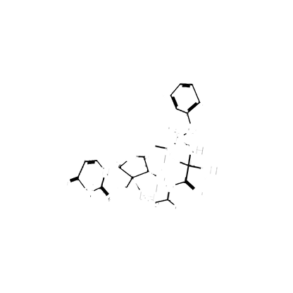 B[C@]1(Cl)[C@H](O)[C@@H](CO[P@@](=O)(NC(C)(C)C(=O)OC(C)C)Oc2ccccc2)O[C@H]1n1ccc(=O)[nH]c1=O